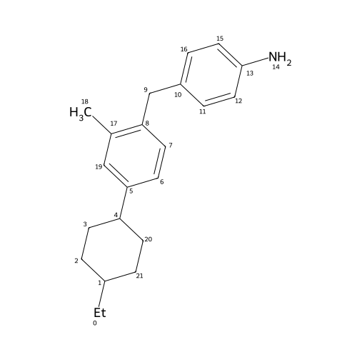 CCC1CCC(c2ccc(Cc3ccc(N)cc3)c(C)c2)CC1